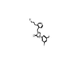 O=C1C[C@H](c2cc(F)cc(F)c2)CN1Cc1ccncc1CCCF